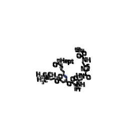 CCCCCCCC(=O)SCC/C=C/[C@H](CC(=O)OCC[Si](C)(C)C)OC(=O)[C@@H](NC(=O)CNC(=O)c1csc(CNC(=O)OC(C)(C)C)n1)C(C)C